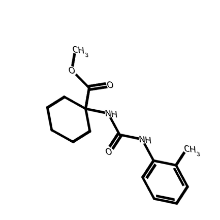 COC(=O)C1(NC(=O)Nc2ccccc2C)CCCCC1